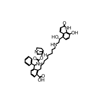 O=C(NC(c1ccccc1)c1cccc(C(=O)O)c1CCCCCCCCCNC[C@H](O)c1ccc(O)c2[nH]c(=O)ccc12)O[C@H]1CN2CCC1CC2